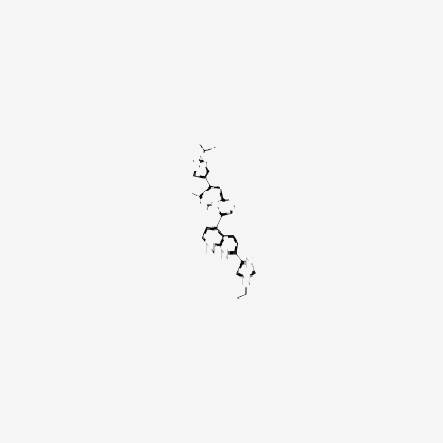 CCn1cnc(-c2ccc3c(-c4cnc5cc(-c6cnn(C(C)C)c6)c(C)nn45)ccnc3n2)c1